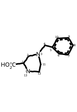 O=C(O)C1CN(Cc2ccccc2)CC[N]1